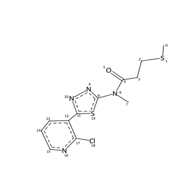 CSCCC(=O)N(C)c1nnc(-c2cccnc2Cl)s1